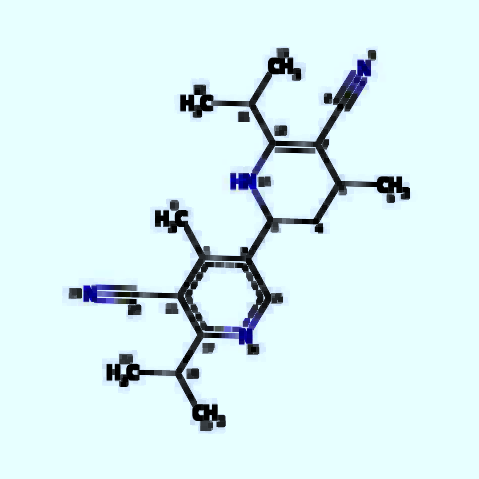 Cc1c(C2CC(C)C(C#N)=C(C(C)C)N2)cnc(C(C)C)c1C#N